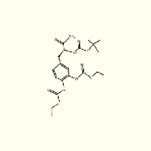 CCOC(=O)Oc1ccc(C[C@H](NC(=O)OC(C)(C)C)C(N)=O)cc1OC(=O)OCC